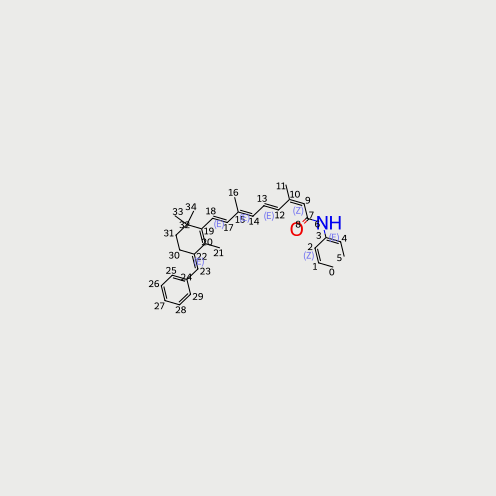 C/C=C\C(=C/C)NC(=O)\C=C(C)/C=C/C=C(C)/C=C/C1=C(C)C(=C/c2ccccc2)/CCC1(C)C